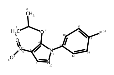 CC(C)Oc1c([N+](=O)[O-])cnn1-c1ccc(F)cc1